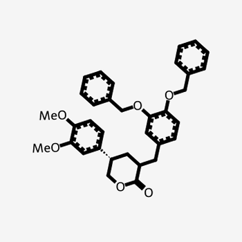 COc1ccc([C@H]2COC(=O)C(Cc3ccc(OCc4ccccc4)c(OCc4ccccc4)c3)C2)cc1OC